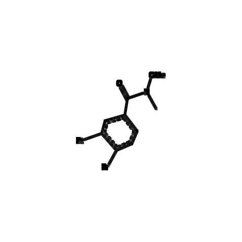 CCc1cc(C(=O)N(C)OC)ccc1Br